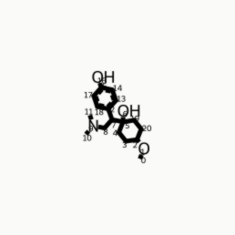 COC1CCC(O)(C(CN(C)C)c2ccc(O)cc2)CC1